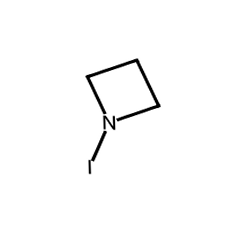 IN1CCC1